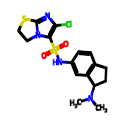 CN(C)C1CCc2ccc(NS(=O)(=O)c3c(Cl)nc4n3CCS4)cc21